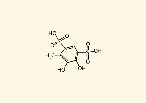 [CH2]c1c(S(=O)(=O)O)cc(S(=O)(=O)O)c(O)c1O